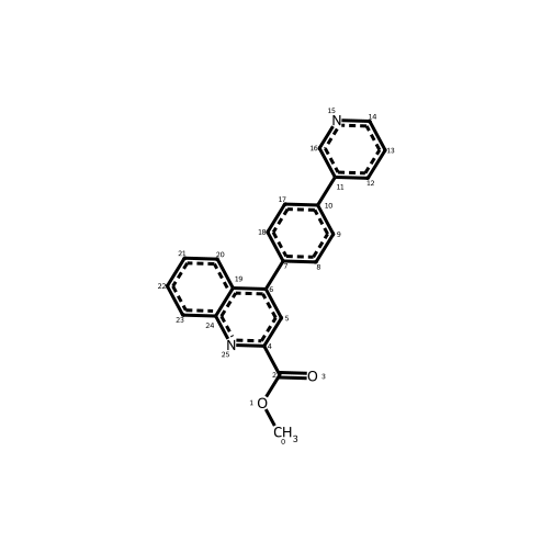 COC(=O)c1cc(-c2ccc(-c3cccnc3)cc2)c2ccccc2n1